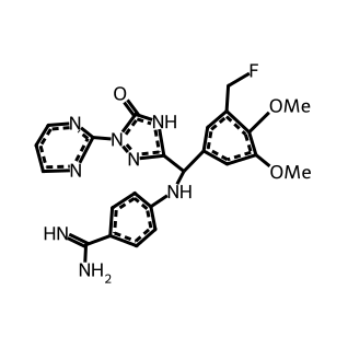 COc1cc(C(Nc2ccc(C(=N)N)cc2)c2nn(-c3ncccn3)c(=O)[nH]2)cc(CF)c1OC